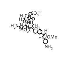 COC[C@]1(NC(=N)c2ccc3c(c2)CCC([C@](C)(O/N=C(\C(=O)NC2C(=O)N(OS(=O)(=O)O)C2(C)C)c2csc(N)n2)C(=O)O)O3)CC[C@@H](N)CC1